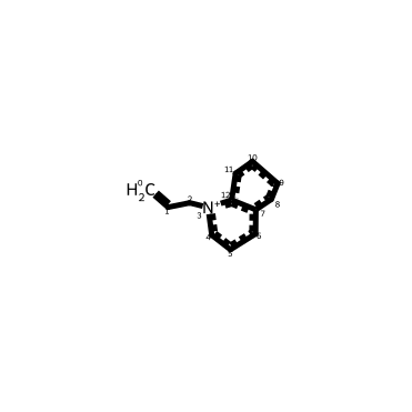 C=CC[n+]1cccc2ccccc21